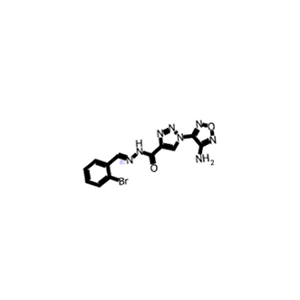 Nc1nonc1-n1cc(C(=O)N/N=C/c2ccccc2Br)nn1